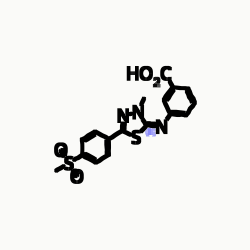 Cn1nc(-c2ccc(S(C)(=O)=O)cc2)s/c1=N/c1cccc(C(=O)O)c1